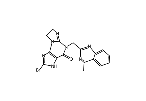 Cc1nc(CN2C(=O)c3[nH]c(Br)nc3N3CCN=C23)nc2ccccc12